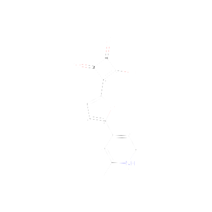 CC1=CC(c2ccc(-c3c(O)c(=O)c3=O)o2)=CCN1